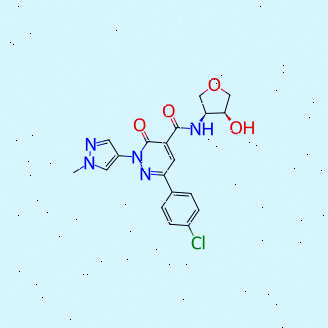 Cn1cc(-n2nc(-c3ccc(Cl)cc3)cc(C(=O)N[C@H]3COC[C@H]3O)c2=O)cn1